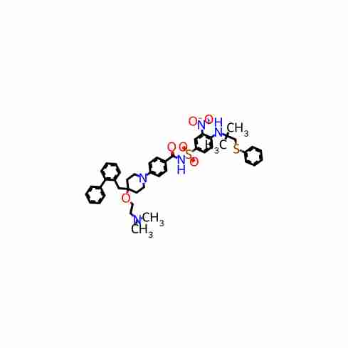 CN(C)CCOC1(Cc2ccccc2-c2ccccc2)CCN(c2ccc(C(=O)NS(=O)(=O)c3ccc(NC(C)(C)CSc4ccccc4)c([N+](=O)[O-])c3)cc2)CC1